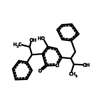 CC(O)C(Cc1ccccc1)c1cc(O)c(C(c2ccccc2)C(C)O)c(=O)o1